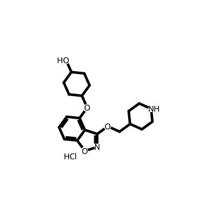 Cl.OC1CCC(Oc2cccc3onc(OCC4CCNCC4)c23)CC1